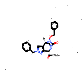 COC(=O)[C@@H]1c2nn(Cc3ccccc3)cc2[C@@H]2CN1C(=O)N2OCc1ccccc1